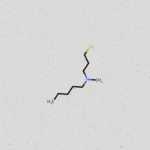 CCCCCN(C)CCCS